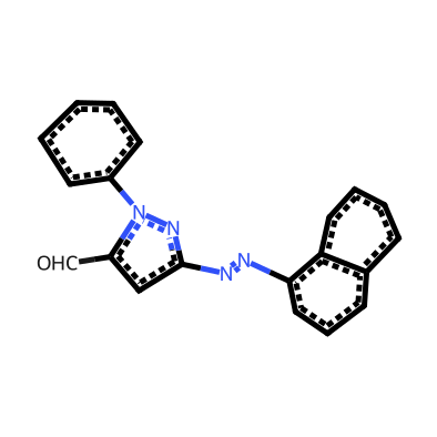 O=Cc1cc(N=Nc2cccc3ccccc23)nn1-c1ccccc1